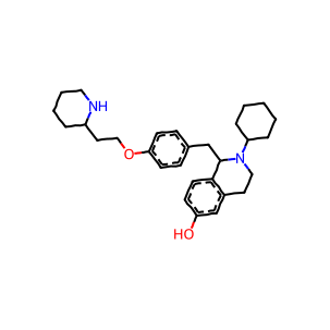 Oc1ccc2c(c1)CCN(C1CCCCC1)C2Cc1ccc(OCCC2CCCCN2)cc1